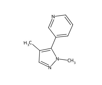 Cc1cnn(C)c1-c1cccnc1